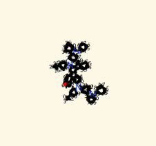 CC(C)(C)c1ccc(N(c2ccc3c(c2)C2(c4cc(N(c5ccc(C(C)(C)C)cc5)c5ccc6c(c5)c5ccccc5n6-c5ccccc5)c5c(c4-3)-c3ccccc3C5(C)C)C3CC4CC(C3)CC2C4)c2ccc3c(c2)c2ccccc2n3-c2ccccc2)cc1